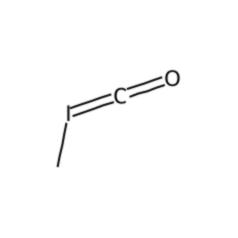 CI=C=O